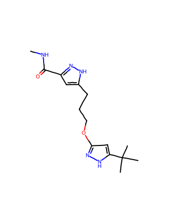 CNC(=O)c1cc(CCCOc2cc(C(C)(C)C)[nH]n2)[nH]n1